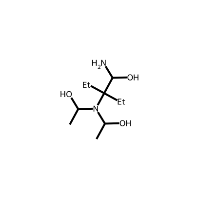 CCC(CC)(C(N)O)N(C(C)O)C(C)O